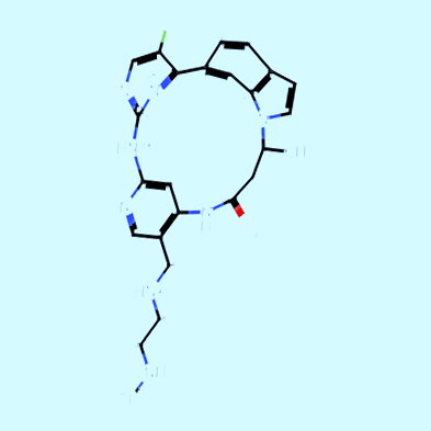 CCNCCNCc1cnc2cc1NC(=O)CC(C)n1ccc3ccc(cc31)-c1nc(ncc1F)N2